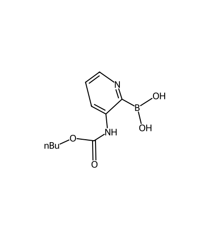 CCCCOC(=O)Nc1cccnc1B(O)O